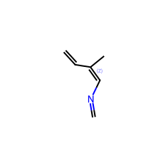 C=C/C(C)=C\N=C